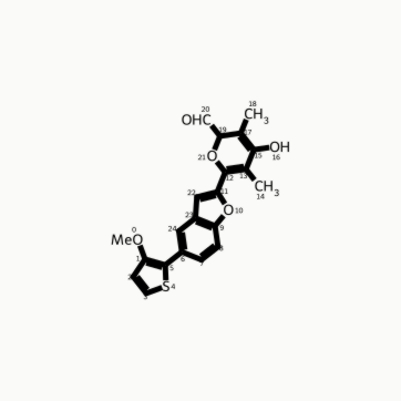 COc1ccsc1-c1ccc2oc(C3=C(C)C(O)=C(C)C(C=O)O3)cc2c1